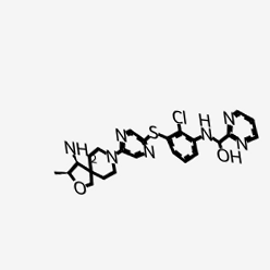 C[C@@H]1OCC2(CCN(c3cnc(Sc4cccc(NC(O)c5ncccn5)c4Cl)cn3)CC2)[C@@H]1N